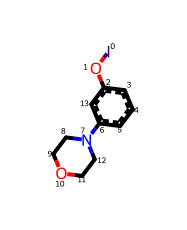 IOc1cccc(N2CCOCC2)c1